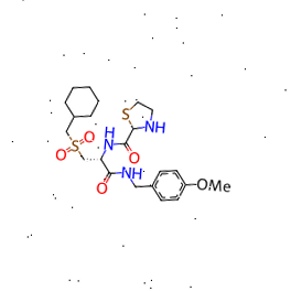 COc1ccc(CNC(=O)[C@H](CS(=O)(=O)CC2CCCCC2)NC(=O)C2NCCS2)cc1